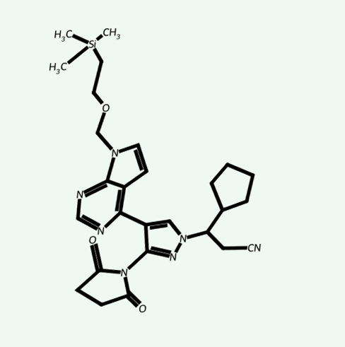 C[Si](C)(C)CCOCn1ccc2c(-c3cn(C(CC#N)C4CCCC4)nc3N3C(=O)CCC3=O)ncnc21